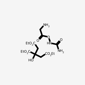 CCOC(=O)CC(O)(CC(=O)OCC)C(=O)OCC.NCC(=O)ONC(N)=O